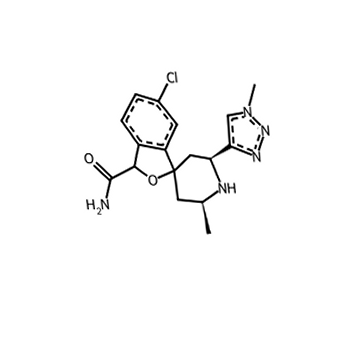 C[C@H]1CC2(C[C@@H](c3cn(C)nn3)N1)OC(C(N)=O)c1ccc(Cl)cc12